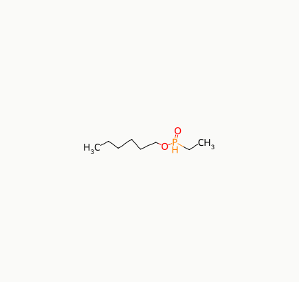 CCCCCCO[PH](=O)CC